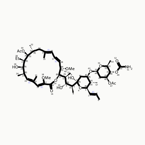 C/C=C/[C@H]1O[C@@](O)([C@@H](C)[C@H](O)[C@H](C)[C@H]2OC(=O)/C(OC)=C/C(C)=C/[C@@H](C)[C@@H](O)[C@@H](CC)[C@@H](OC(C)=O)[C@H](C)C/C(C)=C/C=C/[C@@H]2OC)C[C@@H](O[C@@H]2C[C@H](OC(C)=O)[C@@H](OC(N)=O)[C@H](C)O2)[C@@H]1C